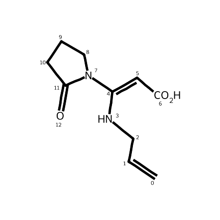 C=CCNC(=CC(=O)O)N1CCCC1=O